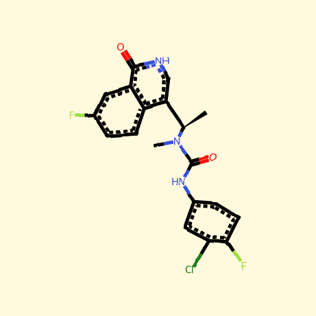 C[C@H](c1c[nH]c(=O)c2cc(F)ccc12)N(C)C(=O)Nc1ccc(F)c(Cl)c1